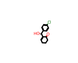 O=C1CCCC=C1[C@H](O)c1ccc(Cl)cc1